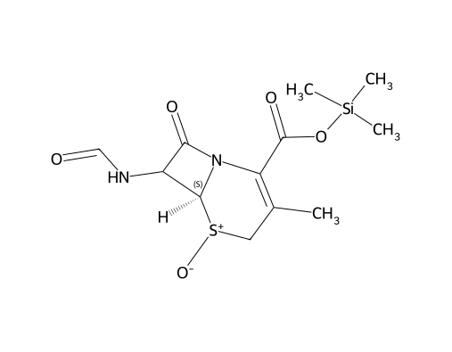 CC1=C(C(=O)O[Si](C)(C)C)N2C(=O)C(NC=O)[C@@H]2[S+]([O-])C1